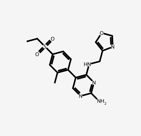 CCS(=O)(=O)c1ccc(-c2cnc(N)nc2NCc2cocn2)c(C)c1